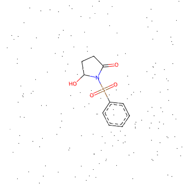 O=C1CCC(O)N1S(=O)(=O)c1ccccc1